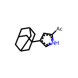 CC(=O)c1cc(C23CC4CC(CC(C4)C2)C3)c[nH]1